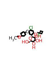 CCOc1ccc(Cc2cc([C@@H]3O[C@H](CO)[C@@H](O)[C@H](O)[C@H]3O)c(OCC3(F)CCC3)cc2Cl)cc1